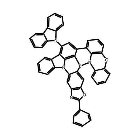 c1ccc(-c2nc3cc4c(cc3o2)B2c3c(cc(-n5c6ccccc6c6ccccc65)c5c6ccccc6n-4c35)-c3cccc4c3N2c2ccccc2O4)cc1